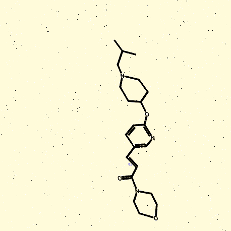 CC(C)CN1CCC(Oc2ccc(/C=C/C(=O)N3CCOCC3)cn2)CC1